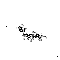 COc1cc2c(c3cc(C(=O)N4CCc5c4c(O)c(OC)c4[nH]c(C(=O)N6CC(CCl)c7c6c[c]c6[nH]cc(C)c76)cc54)[nH]c13)[C@H](O)CN2C(N)=O